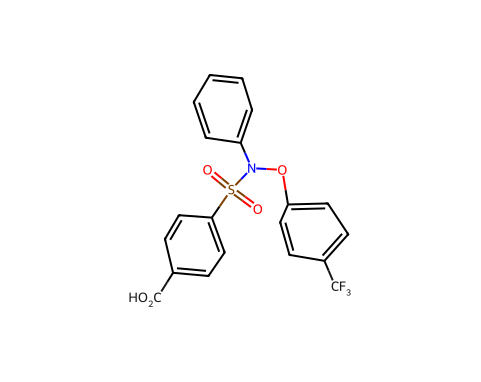 O=C(O)c1ccc(S(=O)(=O)N(Oc2ccc(C(F)(F)F)cc2)c2ccccc2)cc1